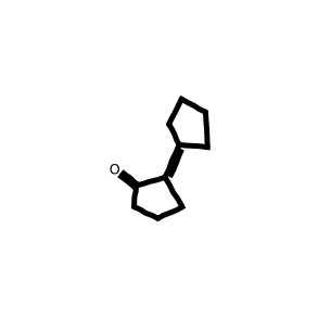 O=C1CCCC1=C1CCCC1